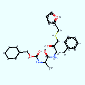 CCC(C)C(NC(=O)OCC1CCCCC1)C(=O)N[C@@H](Cc1ccccc1)C(=O)CSCc1ccco1